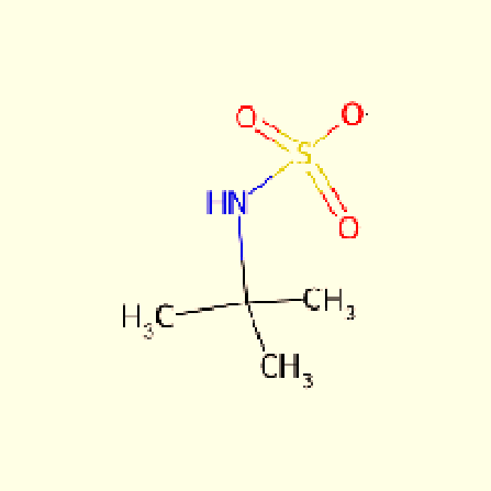 CC(C)(C)NS([O])(=O)=O